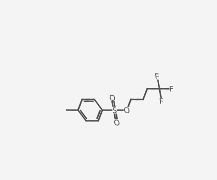 Cc1ccc(S(=O)(=O)OCCCC(F)(F)F)cc1